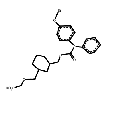 CCOc1ccc(N(C(=O)OCC2CCCC(COCC(=O)O)C2)c2ccccc2)cc1